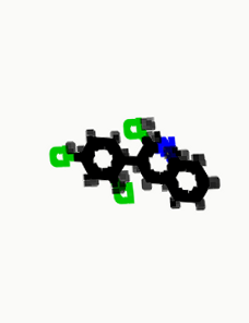 Clc1ccc(-c2cc3ccccc3nc2Cl)c(Cl)c1